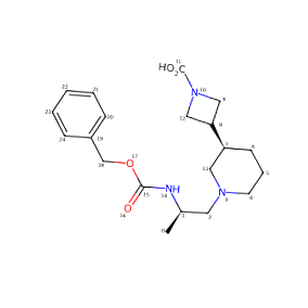 C[C@H](CN1CCC[C@H](C2CN(C(=O)O)C2)C1)NC(=O)OCc1ccccc1